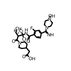 CCC(C(=O)N1CCC(CC(=O)O)CC1)C(C)(C)NC(=O)c1ccc(C(=N)N2CCN(O)CC2)cc1F